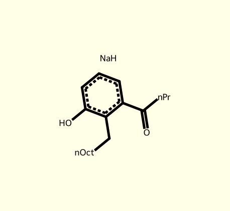 CCCCCCCCCc1c(O)cccc1C(=O)CCC.[NaH]